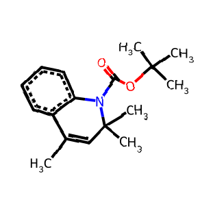 CC1=CC(C)(C)N(C(=O)OC(C)(C)C)c2ccccc21